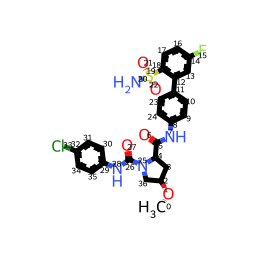 COC1CC(C(=O)Nc2ccc(-c3cc(F)ccc3S(N)(=O)=O)cc2)N(C(=O)Nc2ccc(Cl)cc2)C1